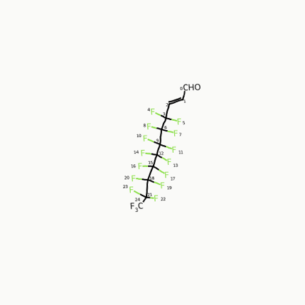 O=CC=CC(F)(F)C(F)(F)C(F)(F)C(F)(F)C(F)(F)C(F)(F)C(F)(F)C(F)(F)F